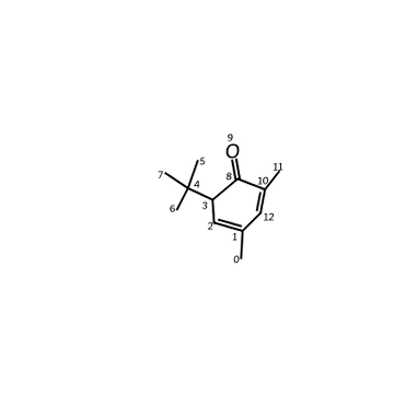 CC1=CC(C(C)(C)C)C(=O)C(C)=C1